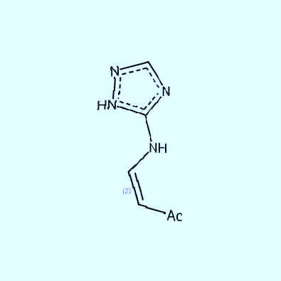 CC(=O)/C=C\Nc1ncn[nH]1